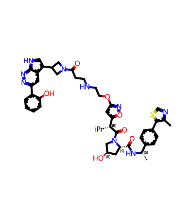 Cc1ncsc1-c1ccc([C@H](C)NC(=O)[C@@H]2C[C@@H](O)CN2C(=O)[C@@H](c2cc(OCCNCCC(=O)N3CC(c4c[nH]c5nnc(-c6ccccc6O)cc45)C3)no2)C(C)C)cc1